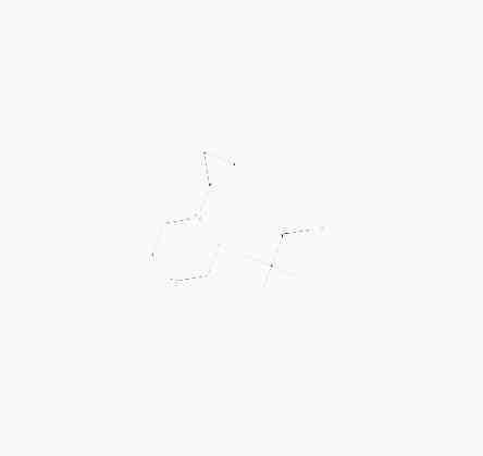 C1CN(C2CC2)CCN1.O=C(O)C(F)(F)F